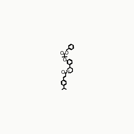 CC(C)c1ccc(C=CC(=O)N2CCCC(c3cccc(OC(C)(C)C(=O)OCc4ccccc4)c3)C2)cc1